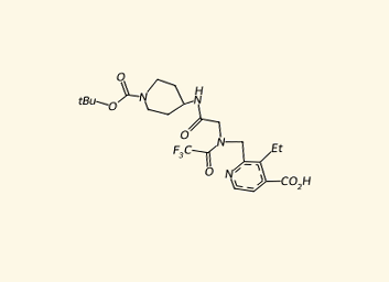 CCc1c(C(=O)O)ccnc1CN(CC(=O)NC1CCN(C(=O)OC(C)(C)C)CC1)C(=O)C(F)(F)F